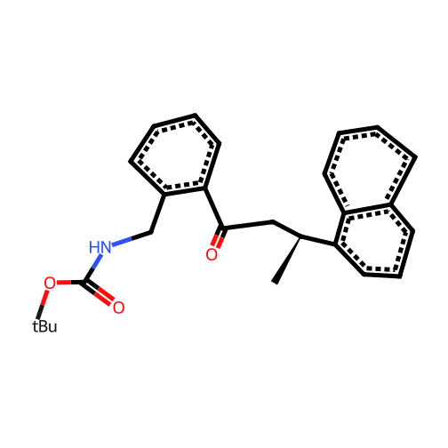 C[C@@H](CC(=O)c1ccccc1CNC(=O)OC(C)(C)C)c1cccc2ccccc12